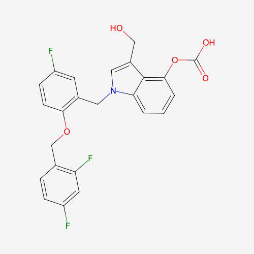 O=C(O)Oc1cccc2c1c(CO)cn2Cc1cc(F)ccc1OCc1ccc(F)cc1F